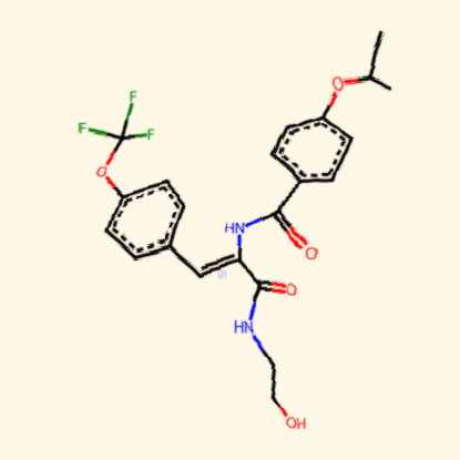 CC(C)Oc1ccc(C(=O)N/C(=C\c2ccc(OC(F)(F)F)cc2)C(=O)NCCO)cc1